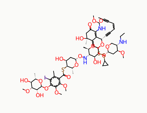 CC#C/C=C\C#C[C@H](O[C@@H]1O[C@H](C)[C@@H](NO[C@H]2C[C@H](O)[C@H](SC(=O)c3c(C)c(I)c(O[C@@H]4O[C@@H](C)[C@H](O)[C@@H](OC)[C@H]4O)c(OC)c3OC)[C@@H](C)O2)[C@H](O)[C@H]1O[C@H]1C[C@H](OC)[C@@H](NCC)CO1)C1=C(NC(=O)OC)C(=O)C[C@](C)(O)/C1=C/CSSC1CC1